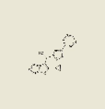 OC(c1cn(-c2cncnc2)nn1)c1c(C2CC2)sc2cncn12